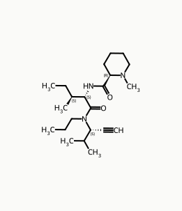 C#C[C@H](C(C)C)N(CCC)C(=O)[C@@H](NC(=O)[C@H]1CCCCN1C)[C@@H](C)CC